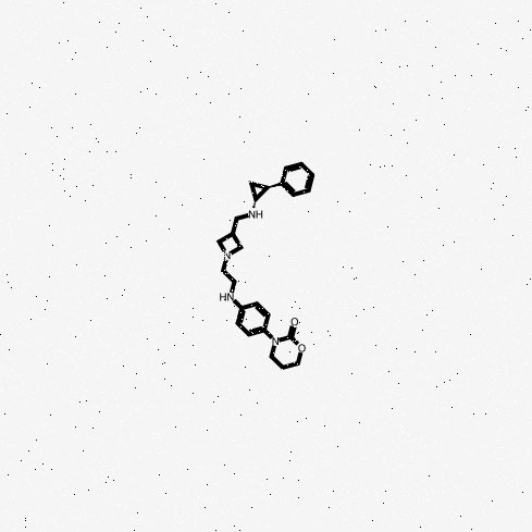 O=C1OCCCN1c1ccc(NCCN2CC(CN[C@@H]3C[C@H]3c3ccccc3)C2)cc1